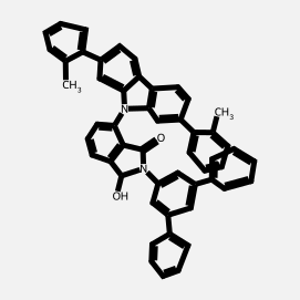 Cc1ccccc1-c1ccc2c3ccc(-c4ccccc4C)cc3n(-c3cccc4c3C(=O)N(c3cc(-c5ccccc5)cc(-c5ccccc5)c3)C4O)c2c1